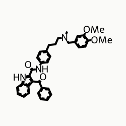 COc1ccc(CN(C)CCCc2ccc(NC(=O)c3[nH]c4ccccc4c3C(=O)c3ccccc3)cc2)cc1OC